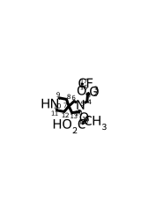 CC(=O)O.O=C(CN1CC2(CCNCC2)CC1=O)OC(F)(F)F